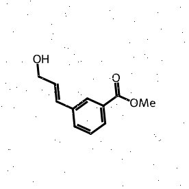 COC(=O)c1cccc(C=CCO)c1